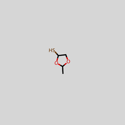 CC1OCC(S)O1